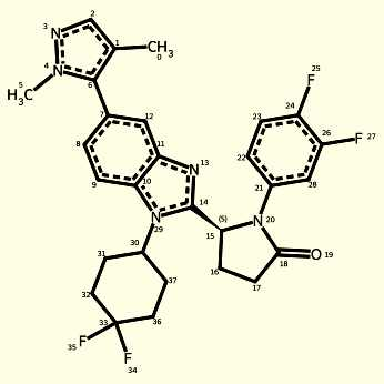 Cc1cnn(C)c1-c1ccc2c(c1)nc([C@@H]1CCC(=O)N1c1ccc(F)c(F)c1)n2C1CCC(F)(F)CC1